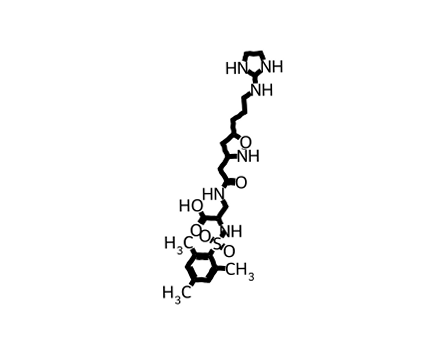 Cc1cc(C)c(S(=O)(=O)NC(CNC(=O)CC2CC(CCCNC3NCCN3)ON2)C(=O)O)c(C)c1